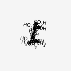 CN(C)c1ccc2c(-c3ccc(C(=O)NCC(=O)NCc4c5oc6cc(O)ccc6c(-c6ccc(C(=O)O)cc6C(=O)O)c-5ccc4=O)cc3C(=O)O)c3ccc(=[N+](C)C)cc-3oc2c1